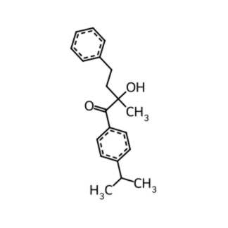 CC(C)c1ccc(C(=O)C(C)(O)CCc2ccccc2)cc1